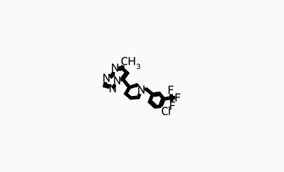 Cc1cc(C2CCCN(Cc3ccc(Cl)c(C(F)(F)F)c3)C2)n2ncnc2n1